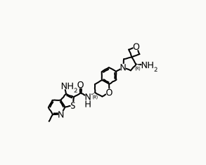 Cc1ccc2c(N)c(C(=O)N[C@H]3COc4cc(N5C[C@H](N)C6(COC6)C5)ccc4C3)sc2n1